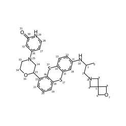 CC(CN1CC2(COC2)C1)Nc1ccc2c(c1)Sc1cccc(C3CN(c4cc[nH]c(=O)c4)CCO3)c1S2